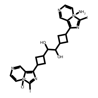 N[N+]12C=CN=CC1=C(C1CC(C(O)C(O)C3CC(C4=C5C=NC=C[N+]5(Cl)C(I)=N4)C3)C1)N=C2I